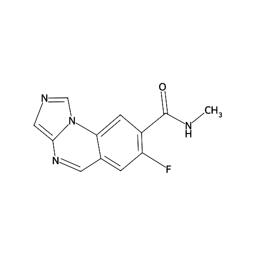 CNC(=O)c1cc2c(cnc3cncn32)cc1F